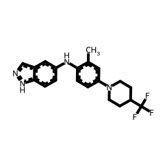 Cc1cc(N2CCC(C(F)(F)F)CC2)ccc1Nc1ccc2[nH]ncc2c1